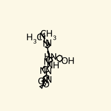 CN(C)CCn1cc(C#Cc2cnc(Nc3ccnc(-c4cnn(S(=O)(=O)C5CC5)c4)n3)cc2N[C@H]2CC[C@@H](O)CC2)cn1